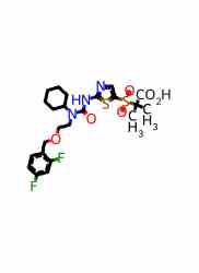 CC(C)(C(=O)O)S(=O)(=O)c1cnc(NC(=O)N(CCOCc2ccc(F)cc2F)C2CCCCC2)s1